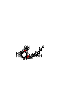 CC[C@H]1OC(=O)[C@H](C)[C@@H](O[C@H]2C[C@@](C)(OC)[C@@H](O)[C@H](C)O2)[C@H](C)[C@@H](O[C@@H]2O[C@H](C)C[C@H](N(C)CCC(=O)N[C@H](CF)[C@H](O)c3ccc(-c4ccc(C#N)nc4)cc3)[C@H]2O)[C@](C)(OC)C[C@@H](C)C(=N)[C@H](C)[C@@H](O)[C@]1(C)O